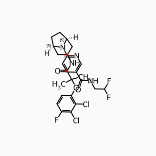 CC(C)(Oc1ccc(F)c(Cl)c1Cl)C(=O)N[C@H]1C[C@H]2CC[C@@H](C1)N2c1ccc(C(=O)NCC(F)F)cn1